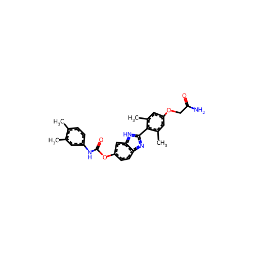 Cc1ccc(NC(=O)Oc2ccc3nc(-c4c(C)cc(OCC(N)=O)cc4C)[nH]c3c2)cc1C